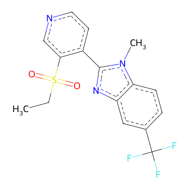 CCS(=O)(=O)c1cnccc1-c1nc2cc(C(F)(F)F)ccc2n1C